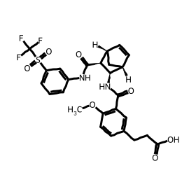 COc1ccc(CCC(=O)O)cc1C(=O)N[C@H]1[C@@H](C(=O)Nc2cccc(S(=O)(=O)C(F)(F)F)c2)[C@@H]2C=C[C@H]1C2